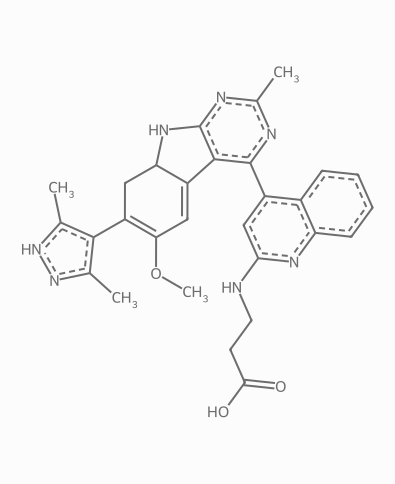 COC1=C(c2c(C)n[nH]c2C)CC2Nc3nc(C)nc(-c4cc(NCCC(=O)O)nc5ccccc45)c3C2=C1